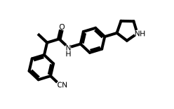 CC(C(=O)Nc1ccc(C2CCNC2)cc1)c1cccc(C#N)c1